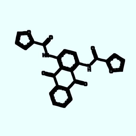 O=C(Nc1ccc(NC(=O)c2ccco2)c2c1C(=O)c1ccccc1C2=O)c1ccco1